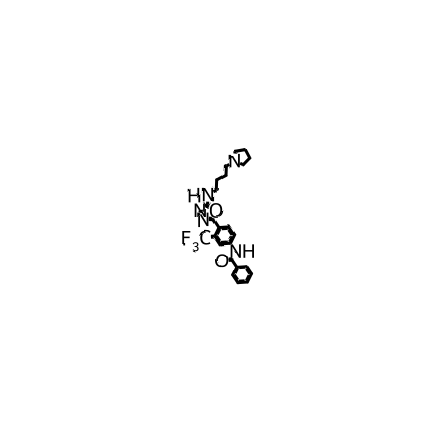 O=C(Nc1ccc(-c2nnc(NCCCCN3CCCC3)o2)c(C(F)(F)F)c1)c1ccccc1